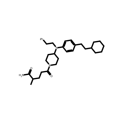 CC(C)CCN(c1ccc(CCC2CCCCC2)cc1)C1CCN(C(=O)[CH]CC(C)C(N)=O)CC1